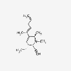 C#CC1[C@H](CC)C=C(/C(C)=C/CC=C)[C@@H](C)N1C